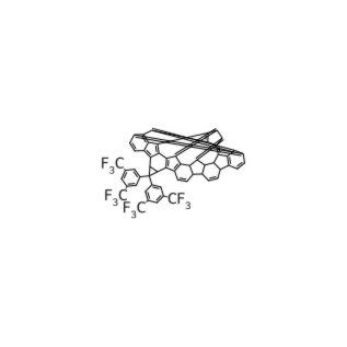 FC(F)(F)c1cc(C(F)(F)F)cc(C2(c3cc(C(F)(F)F)cc(C(F)(F)F)c3)C3c4c5c6c7c4c4c(c8ccc9c%10ccc%11c%12c%13c%14c(c7c7c%14c(c%12%10)c9c8c47)=C4C6C(C=C5)C5C=CC%11C%13C45)C32)c1